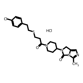 Cc1ncc2n1C(=O)N(C1CCN(C(=O)CCSCCc3ccc(Cl)cc3)CC1)C2.Cl